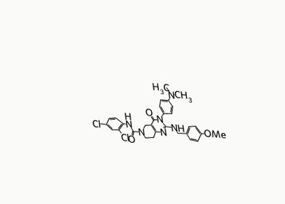 COc1ccc(CNc2nc3c(c(=O)n2-c2ccc(N(C)C)cc2)CN(C(=O)Nc2ccc(Cl)cc2Cl)CC3)cc1